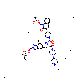 CCC(C)(C)C(=O)OCn1cc2cc(CC(NC(=O)N3CCC(c4cc5ccccc5n(COC(=O)C(C)(C)CC)c4=O)CC3)C(=O)N3CCN(C4CCN(C)CC4)CC3)cc(C)c2n1